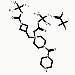 CC(C)(C)OC(=O)C[N+]1(CC2CN(C(=O)OC(C)(C)C)C2)CCN(C(=O)N2CCNCC2)CC1.O=C([O-])C(F)(F)F